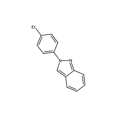 CCc1ccc(-n2cc3ccccc3n2)cc1